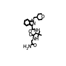 CC(C)(C)[C@H](NC(=O)c1nn(CC2CCOCC2)c2ccccc12)C(=O)NCC(N)=O